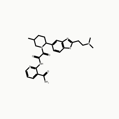 CC1CCC(c2ccc3sc(CCN(C)C)nc3c2)N(C(=O)C(=O)Nc2ncccc2C(N)=O)C1